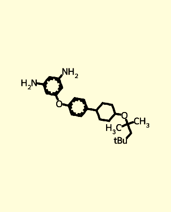 CC(C)(C)CC(C)(C)OC1CCC(c2ccc(Oc3cc(N)cc(N)c3)cc2)CC1